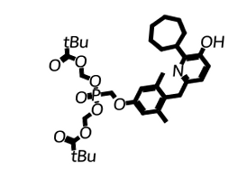 Cc1cc(OCP(=O)(OCOC(=O)C(C)(C)C)OCOC(=O)C(C)(C)C)cc(C)c1Cc1ccc(O)c(C2CCCCCC2)n1